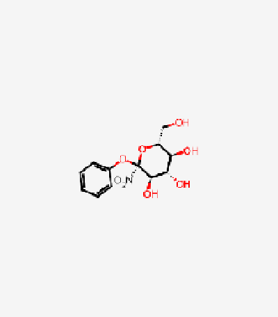 O=[N+]([O-])[C@]1(Oc2ccccc2)O[C@H](CO)[C@@H](O)[C@H](O)[C@H]1O